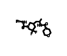 CC(C)NC(=O)N1CC(CC(C)NC(=O)N2CCOCC2)CC(F)(F)C1